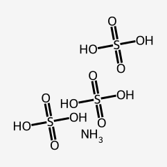 N.O=S(=O)(O)O.O=S(=O)(O)O.O=S(=O)(O)O